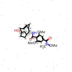 COc1cc(C(=O)N(C)OC)cc(OC)c1C(=O)N[C@@H]1C2CC[C@@](O)(C/C=C3\CC31)C2